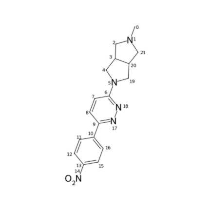 CN1CC2CN(c3ccc(-c4ccc([N+](=O)[O-])cc4)nn3)CC2C1